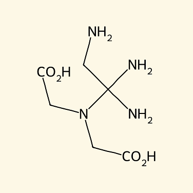 NCC(N)(N)N(CC(=O)O)CC(=O)O